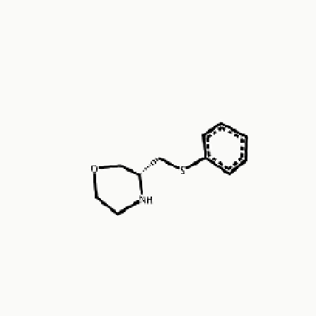 c1ccc(SC[C@H]2COCCN2)cc1